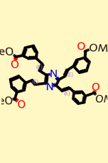 COC(=O)c1cccc(/C=C/c2nc(/C=C/c3cccc(C(=O)OC)c3)c(/C=C/c3cccc(C(=O)OC)c3)nc2/C=C/c2cccc(C(=O)OC)c2)c1